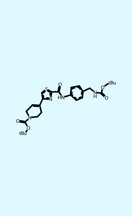 CC(C)(C)OC(=O)NCc1ccc(NC(=O)c2nc(C3=CCN(C(=O)OC(C)(C)C)CC3)cs2)cc1